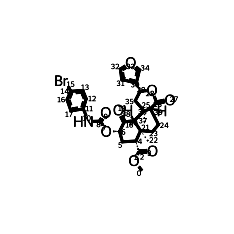 COC(=O)[C@@H]1C[C@H](OC(=O)Nc2ccc(Br)cc2)C(=O)[C@H]2[C@@]1(C)CC[C@H]1C(=O)O[C@H](c3ccoc3)C[C@]21C